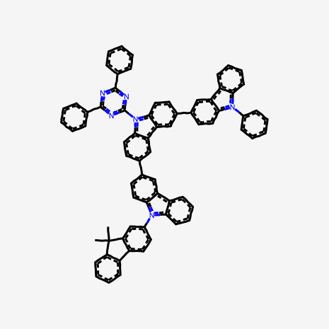 CC1(C)c2ccccc2-c2ccc(-n3c4ccccc4c4cc(-c5ccc6c(c5)c5cc(-c7ccc8c(c7)c7ccccc7n8-c7ccccc7)ccc5n6-c5nc(-c6ccccc6)nc(-c6ccccc6)n5)ccc43)cc21